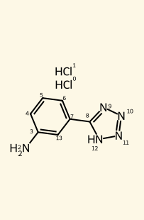 Cl.Cl.Nc1cccc(-c2nnn[nH]2)c1